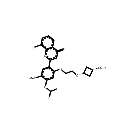 COc1cc(-c2cc(=O)c3cccc(Cl)c3o2)c(OCCO[C@H]2C[C@@H](C(=O)O)C2)cc1OC(F)F